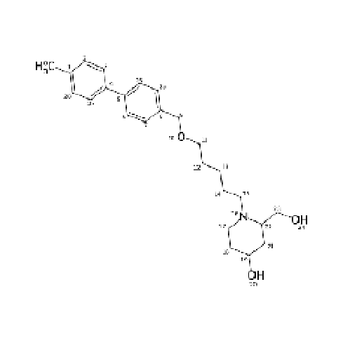 Cc1ccc(-c2ccc(COCCCCCN3CCC(O)CC3CO)cc2)cc1